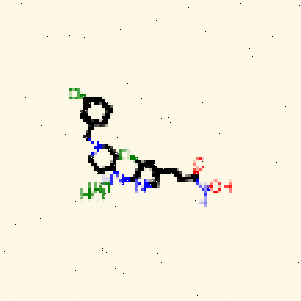 Cl.Cl.O=C(/C=C/c1cnc(NC2CCN(Cc3cccc(Cl)c3)CC2)c(Cl)c1)NO